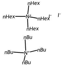 CCCCCC[N+](CCCCCC)(CCCCCC)CCCCCC.CCCC[N+](CCCC)(CCCC)CCCC.[I-].[I-]